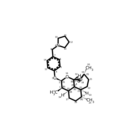 C[C@H]1[C@@H](Oc2ccc(CN3CCCC3)cc2)O[C@@H]2O[C@]3(C)CC[C@H]4[C@H](C)CC[C@@H]1[C@@]24OO3